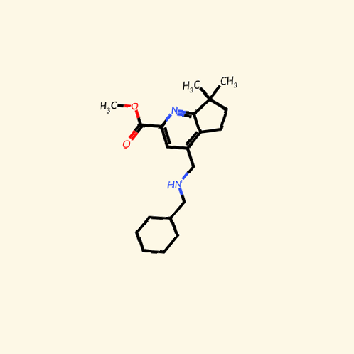 COC(=O)c1cc(CNCC2CCCCC2)c2c(n1)C(C)(C)CC2